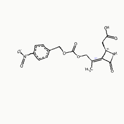 C/C(COC(=O)OCc1ccc([N+](=O)[O-])cc1)=C1\C(=O)N[C@@H]1CC(=O)O